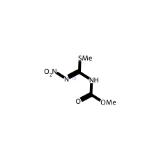 COC(=O)N/C(=N/[N+](=O)[O-])SC